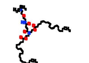 CC/C=C\C/C=C\C/C=C\C/C=C\C/C=C\CCCC(=O)OCCN(CCOC(=O)CCC/C=C\C/C=C\C/C=C\C/C=C\C/C=C\CC)C(=O)C=CC(=O)NCCOCCN(C)C